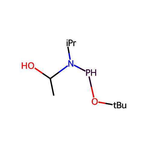 CC(C)N(POC(C)(C)C)C(C)O